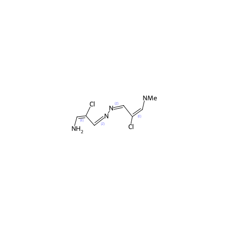 CN\C=C(Cl)/C=N\N=C/C(Cl)=C\N